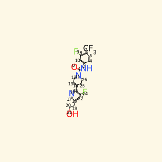 O=C(Nc1ccc(C(F)(F)F)c(F)c1)N1CC=C(c2ncc(CCO)cc2F)CC1